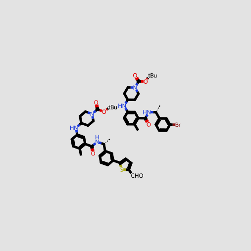 Cc1ccc(NC2CCN(C(=O)OC(C)(C)C)CC2)cc1C(=O)N[C@H](C)c1cccc(-c2ccc(C=O)s2)c1.Cc1ccc(NC2CCN(C(=O)OC(C)(C)C)CC2)cc1C(=O)N[C@H](C)c1cccc(Br)c1